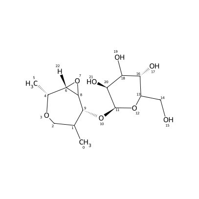 CC1CO[C@H](C)[C@@H]2OC2[C@@H]1O[C@@H]1OC(CO)[C@@H](O)C(O)[C@@H]1O